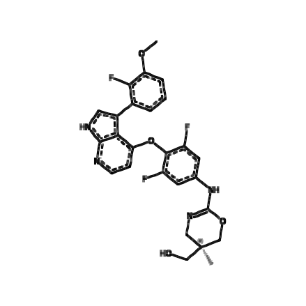 COc1cccc(-c2c[nH]c3nccc(Oc4c(F)cc(NC5=NC[C@](C)(CO)CO5)cc4F)c23)c1F